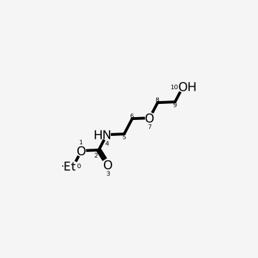 C[CH]OC(=O)NCCOCCO